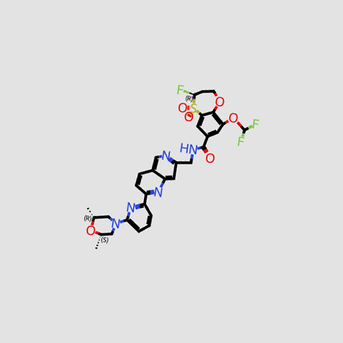 C[C@@H]1CN(c2cccc(-c3ccc4cnc(CNC(=O)c5cc(OC(F)F)c6c(c5)S(=O)(=O)[C@@H](F)CCO6)cc4n3)n2)C[C@H](C)O1